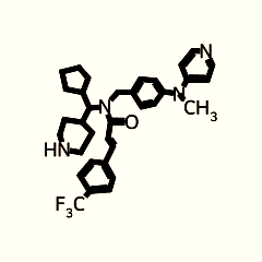 CN(c1ccncc1)c1ccc(CN(C(=O)C=Cc2ccc(C(F)(F)F)cc2)C(C2CCCC2)C2CCNCC2)cc1